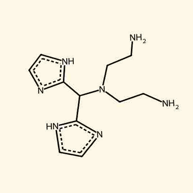 NCCN(CCN)C(c1ncc[nH]1)c1ncc[nH]1